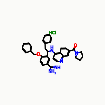 Cl.N=C(N)c1ccc(OCc2ccccc2)c(C(Cc2ccccc2)Nc2ccnc3cc(C(=O)N4CCCC4)ccc23)c1